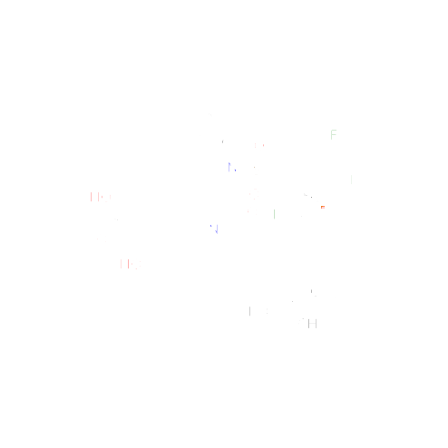 CC(C)(C)c1cc(CN(C(=O)CN(C23CC(C2)C3)S(=O)(=O)c2c(F)c(F)c(F)c(F)c2F)c2ccc(C(=O)O)c(O)c2)cc(C2CC2)c1